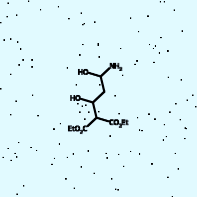 CCOC(=O)C(C(=O)OCC)C(O)CC(N)O